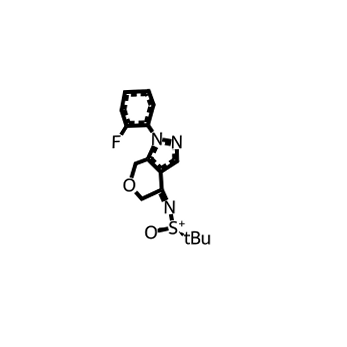 CC(C)(C)[S@+]([O-])/N=C1\COCc2c1cnn2-c1ccccc1F